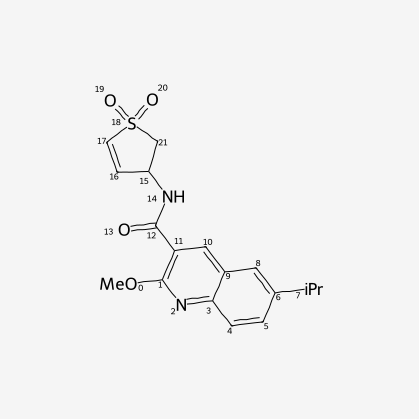 COc1nc2ccc(C(C)C)cc2cc1C(=O)NC1C=CS(=O)(=O)C1